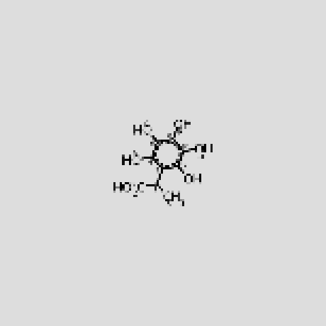 CC(C(=O)O)c1c(O)c(O)c(O)c(O)c1O